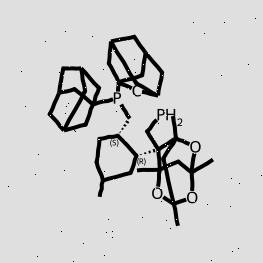 CC1CC[C@H](CP(C23CC4CC(CC(C4)C2)C3)C23CC4CC(CC(C4)C2)C3)[C@H](C2(CP)C3(C)CC4(C)OC(C)(CC2(C)O4)O3)C1